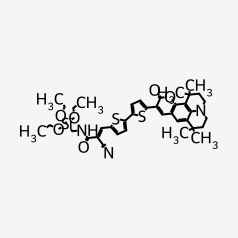 CCO[Si](CNC(=O)/C(C#N)=C/c1ccc(-c2ccc(-c3cc4cc5c6c(c4oc3=O)C(C)(C)CCN6CCC5(C)C)s2)s1)(OCC)OCC